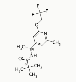 Cc1cc([C@@H](C)N[S@+]([O-])C(C)(C)C)cc(OCC(F)(F)F)n1